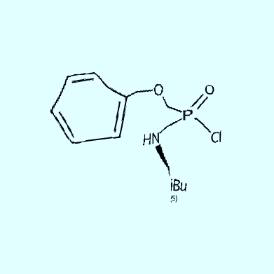 CC[C@H](C)NP(=O)(Cl)Oc1ccccc1